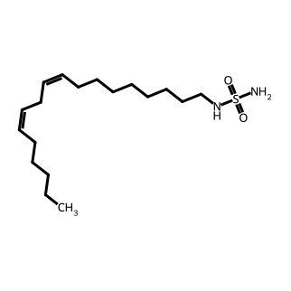 CCCCC/C=C\C/C=C\CCCCCCCCNS(N)(=O)=O